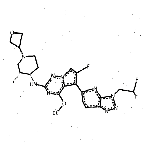 CCOc1nc(N[C@H]2CCN(C3COC3)C[C@H]2F)nn2cc(F)c(-c3ccc4nnn(CC(F)F)c4n3)c12